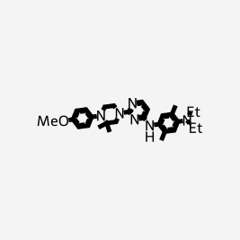 CCN(CC)c1cc(C)c(Nc2ccnc(N3CCN(c4ccc(OC)cc4)C(C)(C)C3)n2)cc1C